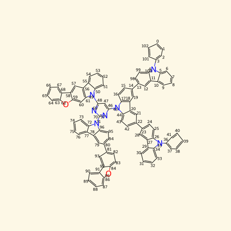 c1ccc(-n2c3ccccc3c3cc(-c4ccc5c(c4)c4cc(-c6ccc7c(c6)c6ccccc6n7-c6ccccc6)ccc4n5-c4cc(-n5c6ccccc6c6cc7c(cc65)oc5ccccc57)nc(-n5c6ccccc6c6cc(-c7ccc8oc9ccccc9c8c7)ccc65)n4)ccc32)cc1